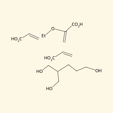 C=C(OCC)C(=O)O.C=CC(=O)O.C=CC(=O)O.OCCCC(CO)CO